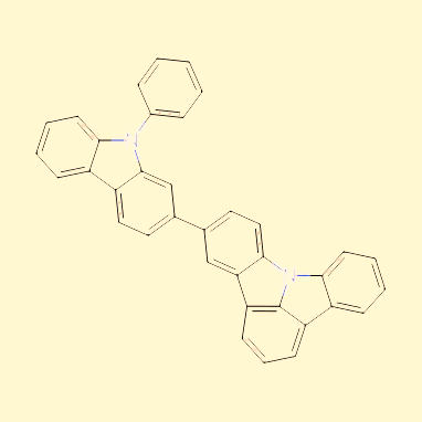 c1ccc(-n2c3ccccc3c3ccc(-c4ccc5c(c4)c4cccc6c7ccccc7n5c64)cc32)cc1